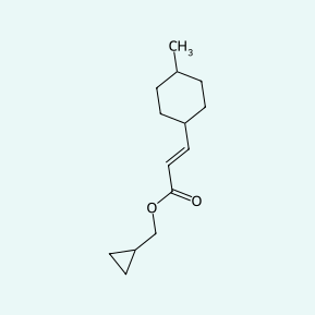 CC1CCC(C=CC(=O)OCC2CC2)CC1